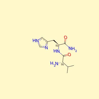 CC(C)[C@H](N)C(=O)N[C@@H](Cc1c[nH]cn1)C(N)=O